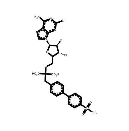 CS(=O)(=O)c1ccc(-c2ccc(CC(OC[C@H]3O[C@@H](n4cnc5c(N)nc(Cl)nc54)[C@@H](F)[C@@H]3O)(C(=O)O)C(=O)O)cc2)cc1